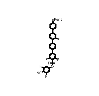 CCCCCc1ccc(-c2ccc(-c3ccc(-c4cc(F)c(C(F)(F)Oc5cc(F)c(C#N)c(F)c5)c(F)c4)cc3)c(F)c2)cc1